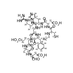 CC(=O)CNC(CS)C(=O)N[C@@H](CC(=O)O)C(=O)NC(Cc1cnc[nH]1)C(=O)N[C@@H](CCCNC(=N)N)C(=O)NC(Cc1ccccc1)C(=O)N[C@@H](CCC(=O)O)C(=O)NC(C)C(=O)N[C@H](C=O)CC(=O)O